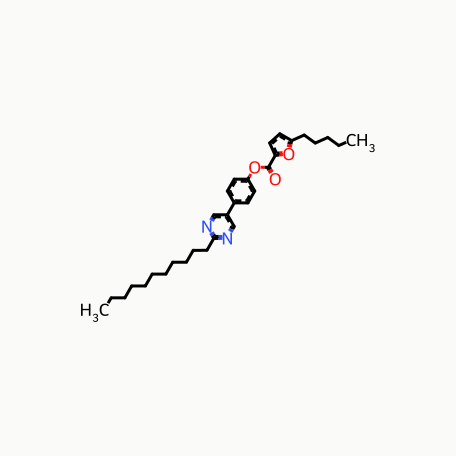 CCCCCCCCCCCc1ncc(-c2ccc(OC(=O)c3ccc(CCCCC)o3)cc2)cn1